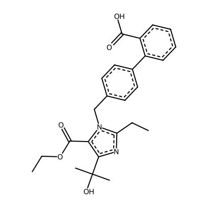 CCOC(=O)c1c(C(C)(C)O)nc(CC)n1Cc1ccc(-c2ccccc2C(=O)O)cc1